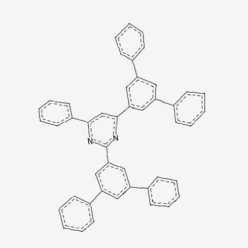 c1ccc(-c2cc(-c3ccccc3)cc(-c3cc(-c4ccccc4)nc(-c4cc(-c5ccccc5)cc(-c5ccccc5)c4)n3)c2)cc1